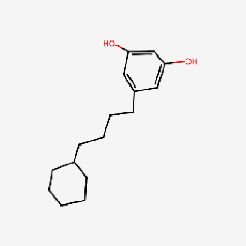 Oc1cc(O)cc(CCCCC2CCCCC2)c1